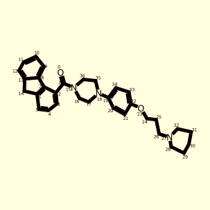 O=C(c1cccc2c1-c1ccccc1C2)N1CCN(c2ccc(OCCCN3CCCCC3)cc2)CC1